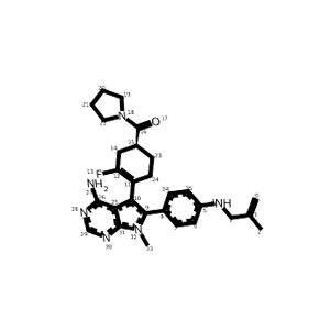 C=C(C)CNc1ccc(-c2c(C3=C(F)C[C@@H](C(=O)N4CCCC4)CC3)c3c(N)ncnc3n2C)cc1